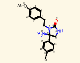 COc1ccc(CCN2C(=O)NCC2(N)c2ccc(C)cc2)cc1